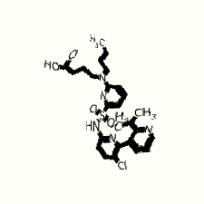 CCCCN(CCCC(=O)O)c1cccc(S(=O)(=O)Nc2ccc(Cl)c(-c3cccnc3C(C)C)n2)n1